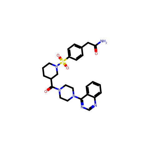 NC(=O)Cc1ccc(S(=O)(=O)N2CCCC(C(=O)N3CCN(c4ncnc5ccccc45)CC3)C2)cc1